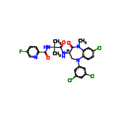 CN1C(=O)[C@H](NC(=O)C(C)(C)NC(=O)c2ccc(F)cn2)CN(c2cc(Cl)cc(Cl)c2)c2ccc(Cl)cc21